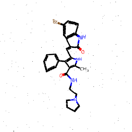 Cc1[nH]c(C=C2C(=O)Nc3ccc(Br)cc32)c(-c2ccccc2)c1C(=O)NCCN1CCCC1